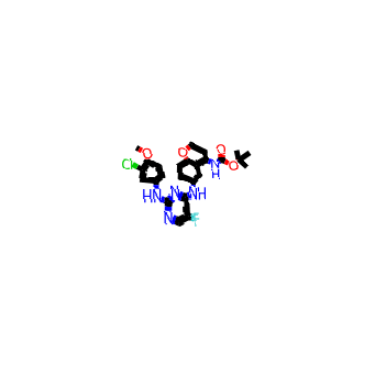 COc1ccc(Nc2ncc(F)c(NC3=CC=C4OC=CC(NC(=O)OC(C)(C)C)=C4C3)n2)cc1Cl